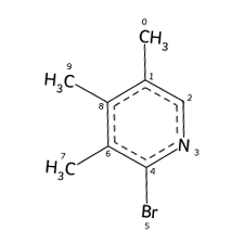 Cc1cnc(Br)c(C)c1C